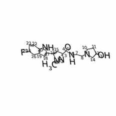 Cn1nc(C(=O)NCCN2CC[C@@H](O)C2)cc1-c1cc2c([nH]1)C=CC(F)C2